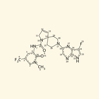 Cn1cc(C(F)(F)F)cc(NC(=O)N2CC=CC23CCN(c2cnc4[nH]cc(F)c4n2)CC3)c1=O